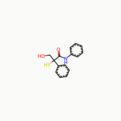 O=C(Nc1ccccc1)C(S)(CO)c1ccccc1